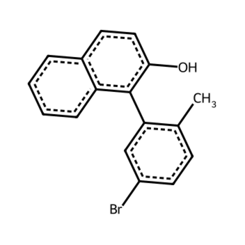 Cc1ccc(Br)cc1-c1c(O)ccc2ccccc12